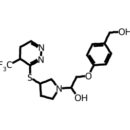 OCc1ccc(OCC(O)N2CCC(SC3=NN=CCC3C(F)(F)F)C2)cc1